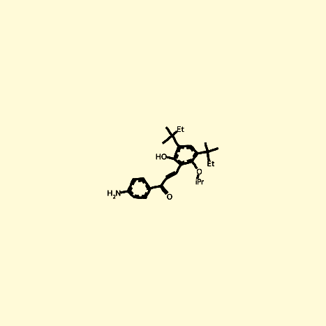 CCC(C)(C)c1cc(C(C)(C)CC)c(OC(C)C)c(C=CC(=O)c2ccc(N)cc2)c1O